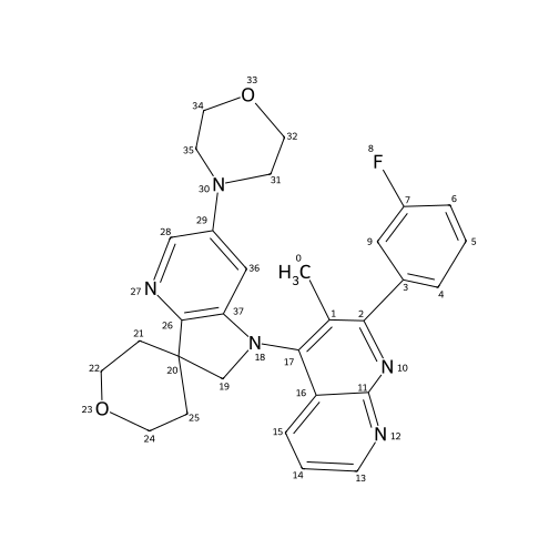 Cc1c(-c2cccc(F)c2)nc2ncccc2c1N1CC2(CCOCC2)c2ncc(N3CCOCC3)cc21